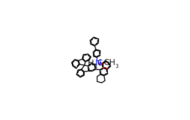 CC(C)c1ccc2c(c1-c1cc3c(cc1N(c1ccccc1)c1ccc(-c4ccccc4)cc1)C1(c4ccccc4-c4ccccc41)c1ccccc1-3)CCCC2